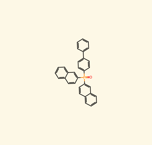 O=P(c1ccc(-c2ccccc2)cc1)(c1ccc2ccccc2c1)c1ccc2ccccc2c1